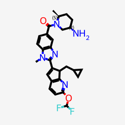 C[C@H]1CC[C@@H](N)CN1C(=O)c1ccc2c(c1)nc(C1=Cc3ccc(OC(F)F)nc3C1CC1CC1)n2C